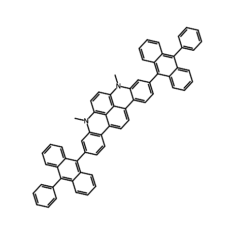 CN1c2cc(-c3c4ccccc4c(-c4ccccc4)c4ccccc34)ccc2-c2ccc3c4c(ccc1c24)N(C)c1cc(-c2c4ccccc4c(-c4ccccc4)c4ccccc24)ccc1-3